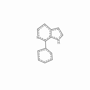 c1ccc(-c2nccc3cc[nH]c23)cc1